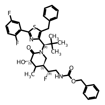 CC1[C@H](O)C(=O)N([C@@H](c2nc(-c3cc(F)ccc3F)sc2Cc2ccccc2)C(C)(C)C)C[C@H]1[C@@H](F)CNC(=O)OCc1ccccc1